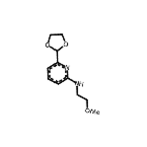 COCCNc1cccc(C2OCCO2)n1